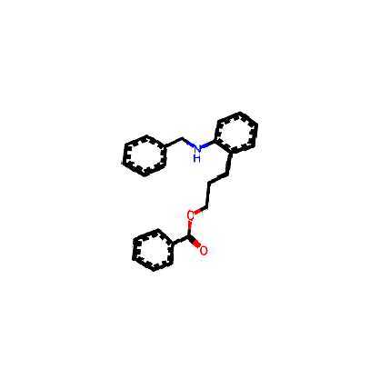 O=C(OCCCc1ccccc1NCc1ccccc1)c1ccccc1